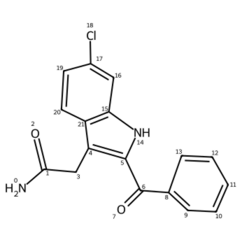 NC(=O)Cc1c(C(=O)c2ccccc2)[nH]c2cc(Cl)ccc12